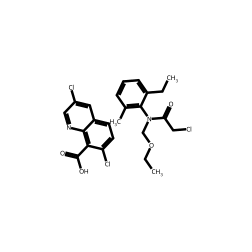 CCOCN(C(=O)CCl)c1c(C)cccc1CC.O=C(O)c1c(Cl)ccc2cc(Cl)cnc12